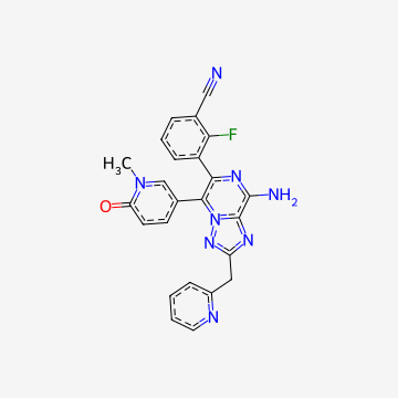 Cn1cc(-c2c(-c3cccc(C#N)c3F)nc(N)c3nc(Cc4ccccn4)nn23)ccc1=O